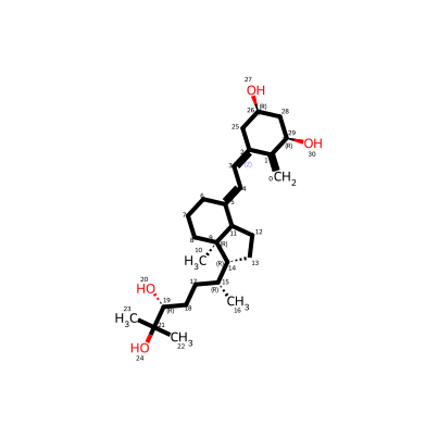 C=C1/C(=C\C=C2CCC[C@@]3(C)C2CC[C@@H]3[C@H](C)CC[C@@H](O)C(C)(C)O)C[C@@H](O)C[C@H]1O